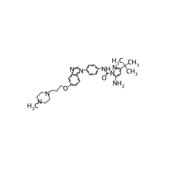 CN1CCN(CCCOc2ccc3c(c2)ncn3-c2ccc(NC(=O)n3nc(C(C)(C)C)cc3N)cc2)CC1